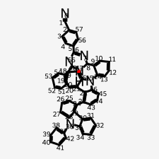 N#Cc1ccc(C2=NC(c3ccccc3-n3c4ccccc4c4c(-c5cccc6c5c5ccccc5n6-c5ccccc5)cccc43)NC(c3ccccc3)=N2)cc1